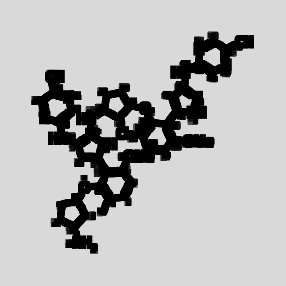 COc1ccc(C)c(O[C@@H]2CC[C@H](N)C2)c1-c1cc(Nc2cnc(C#N)cn2)[n+](N[C@H]2CC[C@@H](Oc3c(Cl)ccc(OC)c3-c3cc(Nc4cnc(C#N)cn4)n[nH]3)C2)[nH]1